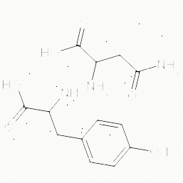 NC(=O)CC(N)C(=O)O.NC(Cc1ccc(O)cc1)C(=O)O